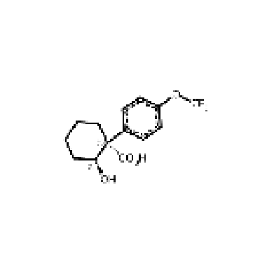 O=C(O)[C@@]1(c2ccc(OC(F)(F)F)cc2)CCCC[C@@H]1O